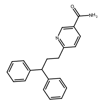 NC(=O)c1ccc(CCC(c2ccccc2)c2ccccc2)nc1